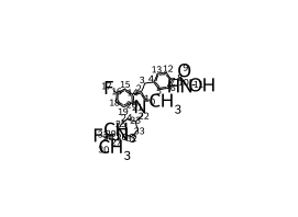 Cc1c(Cc2ccc(C(=O)NO)cc2)c2cc(F)ccc2n1CC1CCN(CC(C)(C)F)CC1